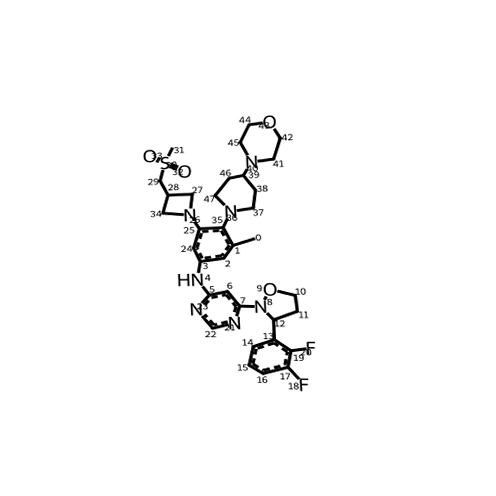 Cc1cc(Nc2cc(N3OCCC3c3cccc(F)c3F)ncn2)cc(N2CC(CS(C)(=O)=O)C2)c1N1CCC(N2CCOCC2)CC1